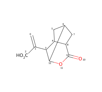 C=C(C(=O)O)C1C2CC3CC2C(=O)OC31